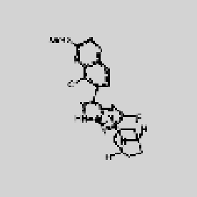 COc1cnc2ccc(-c3n[nH]c4nc(N5[C@@H]6CC[C@H]5[C@@H](F)[C@@H](N)C6)c(C)nc34)c(Cl)c2n1